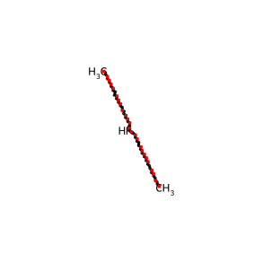 CCCCCCCCCCCCCCCCCCCCCCCCCCCCC#CPC#CCCCCCCCCCCCCCCCCCCCCCCCCCCCC